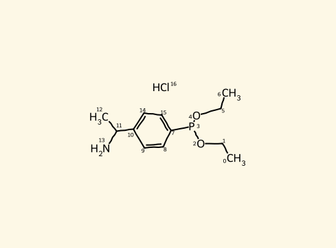 CCOP(OCC)c1ccc(C(C)N)cc1.Cl